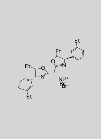 CCc1cccc([C@H]2N=C(CC3=N[C@H](c4cccc(CC)c4)C(CC)O3)OC2CC)c1.[Br-].[Br-].[Ni+2]